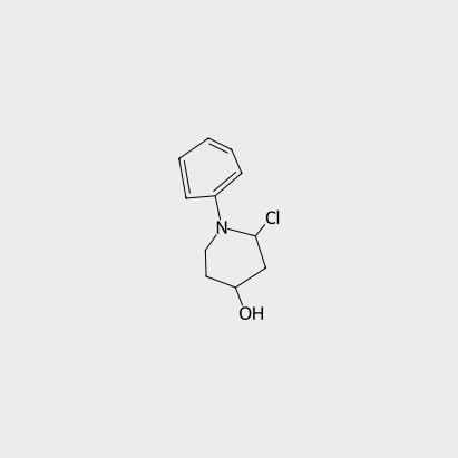 OC1CCN(c2ccccc2)C(Cl)C1